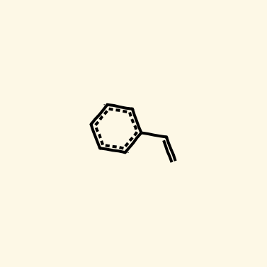 C=Cc1[c]cc[c]c1